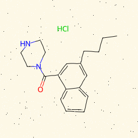 CCCCc1cc(C(=O)N2CCNCC2)c2ccccc2c1.Cl